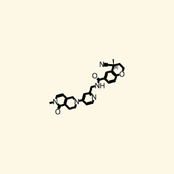 Cn1ccc2c(c1=O)CCN(c1ccnc(CNC(=O)c3ccc4c(c3)[C@](C)(C#N)CCO4)c1)C2